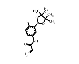 C=CC(=O)Nc1ccc(F)c(B2OC(C)(C)C(C)(C)O2)c1